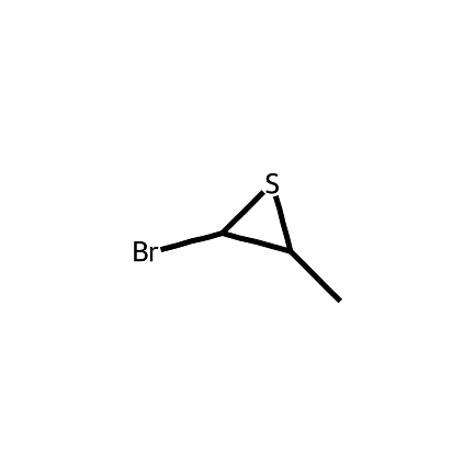 CC1SC1Br